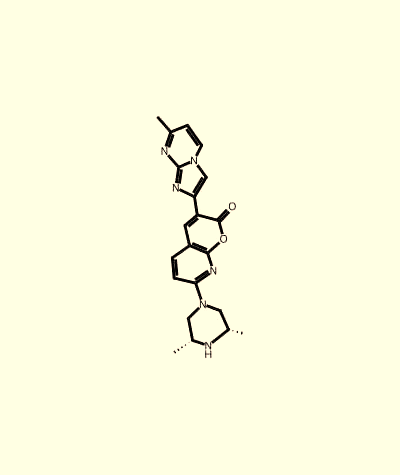 Cc1ccn2cc(-c3cc4ccc(N5C[C@@H](C)N[C@@H](C)C5)nc4oc3=O)nc2n1